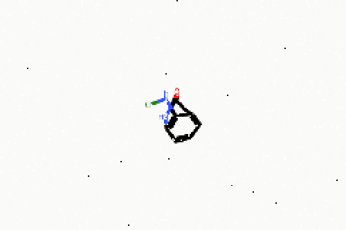 O=C1Nc2cccc1c2NCl